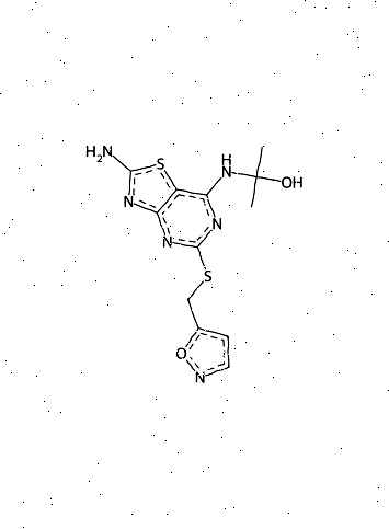 CC(C)(O)Nc1nc(SCc2ccno2)nc2nc(N)sc12